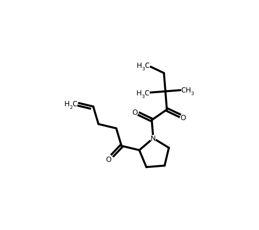 C=CCCC(=O)C1CCCN1C(=O)C(=O)C(C)(C)CC